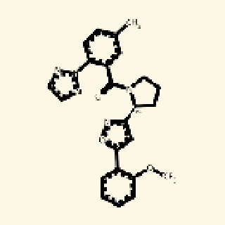 Cc1ccc(-n2nccn2)c(C(=O)N2CCC[C@H]2c2cc(-c3ccccc3OC(F)(F)F)on2)c1